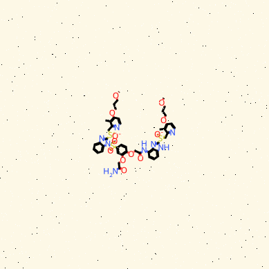 COCCCOc1ccnc(C[S+]([O-])c2nc3c(NC(=O)COc4ccc(S(=O)(=O)n5c([S+]([O-])Cc6nccc(OCCCOC)c6C)nc6ccccc65)cc4OCC(N)=O)cccc3[nH]2)c1C